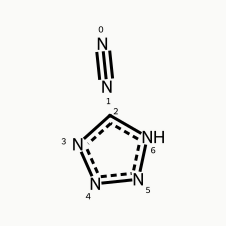 N#N.c1nnn[nH]1